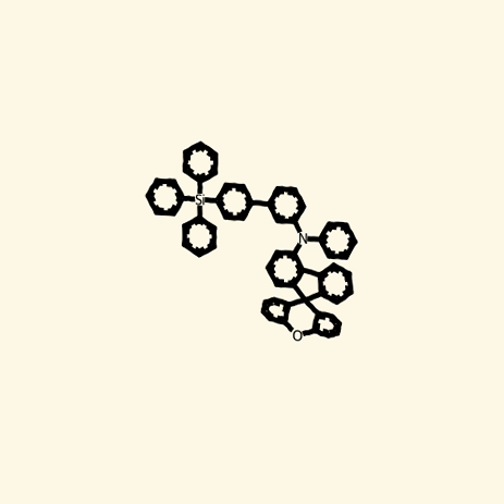 c1ccc(N(c2cccc(-c3ccc([Si](c4ccccc4)(c4ccccc4)c4ccccc4)cc3)c2)c2cccc3c2-c2ccccc2C32c3ccccc3Oc3ccccc32)cc1